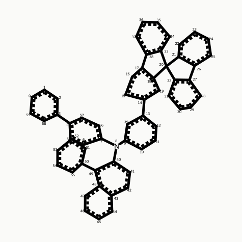 c1ccc(-c2ccc(N(c3cccc(-c4ccc5c(c4)C4(c6ccccc6-c6ccccc64)c4ccccc4-5)c3)c3ccc4ccccc4c3-c3ccccc3)cc2)cc1